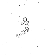 O=c1cc(Cc2cnc(-c3ccc(C(F)(F)F)cc3)o2)oc2ccccc12